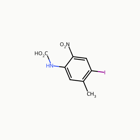 Cc1cc(NC(=O)O)c([N+](=O)[O-])cc1I